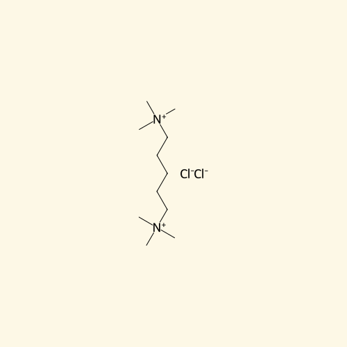 C[N+](C)(C)CCCCC[N+](C)(C)C.[Cl-].[Cl-]